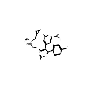 Cc1cc(-c2c(OCc3nncn3CC3CC3)nc(N)nc2-c2ccc(F)cc2)cc(C(F)F)n1